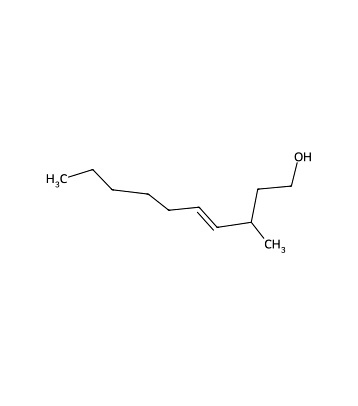 CCCCCC=CC(C)CCO